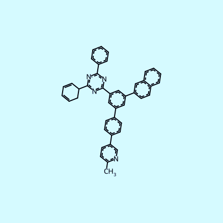 Cc1ccc(-c2ccc(-c3cc(-c4ccc5ccccc5c4)cc(-c4nc(-c5ccccc5)nc(C5C=CC=CC5)n4)c3)cc2)cn1